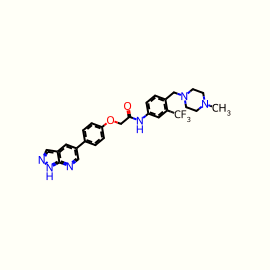 CN1CCN(Cc2ccc(NC(=O)COc3ccc(-c4cnc5[nH]ncc5c4)cc3)cc2C(F)(F)F)CC1